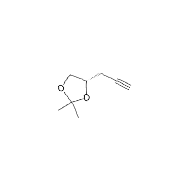 C#CC[C@H]1COC(C)(C)O1